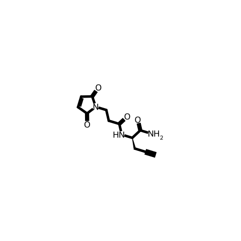 C#CC[C@@H](NC(=O)CCN1C(=O)C=CC1=O)C(N)=O